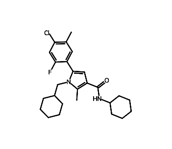 Cc1cc(-c2cc(C(=O)NC3CCCCC3)c(C)n2CC2CCCCC2)c(F)cc1Cl